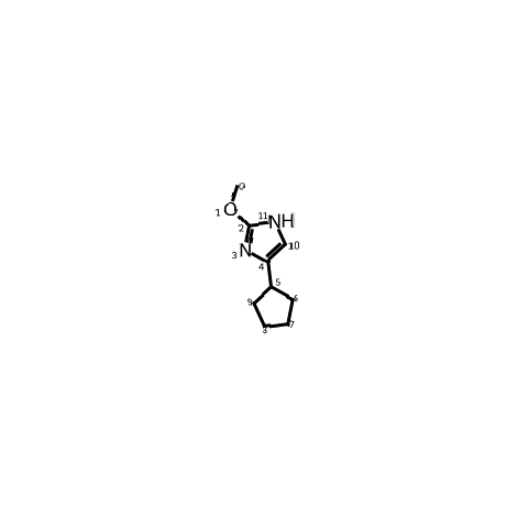 COc1nc(C2CCCC2)c[nH]1